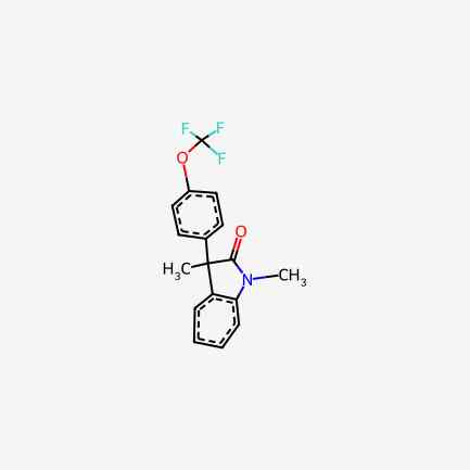 CN1C(=O)C(C)(c2ccc(OC(F)(F)F)cc2)c2ccccc21